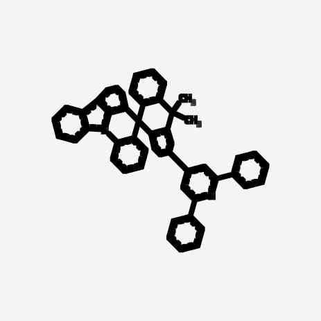 CC1(C)c2ccccc2C2(c3ccccc3-n3c4ccccc4c4cccc2c43)c2ccc(-c3cc(-c4ccccc4)nc(-c4ccccc4)c3)cc21